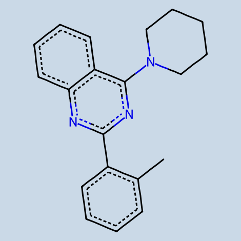 Cc1ccccc1-c1nc(N2CCCCC2)c2ccccc2n1